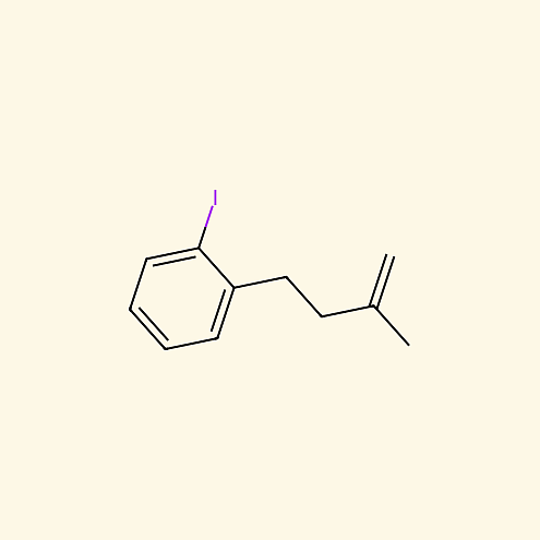 C=C(C)CCc1ccccc1I